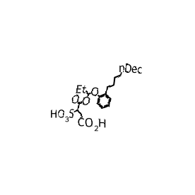 CCCCCCCCCCCCCCc1ccccc1OC(CC)OC(=O)C(CC(=O)O)S(=O)(=O)O